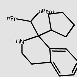 CCCCCC(CCC)C1(C2CCCC2)NCCc2ccccc21